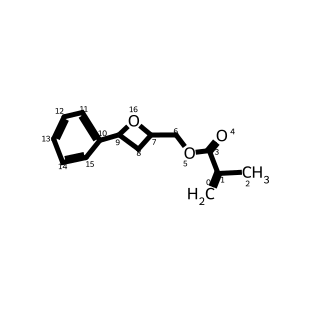 C=C(C)C(=O)OCC1CC(c2ccccc2)O1